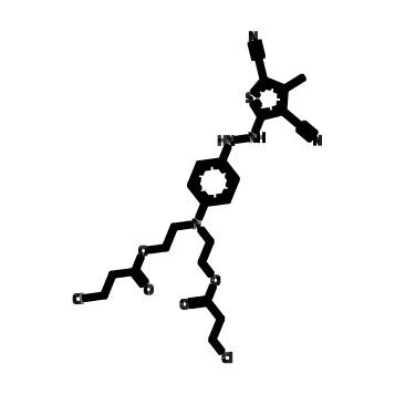 Cc1c(C#N)sc(NNc2ccc(N(CCOC(=O)CCCl)CCOC(=O)CCCl)cc2)c1C#N